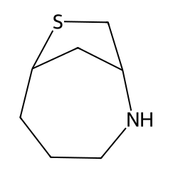 C1CNC2CSC(C1)C2